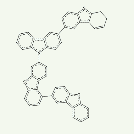 C1=Cc2c(sc3ccc(-c4ccc5c(c4)c4ccccc4n5-c4ccc5c(c4)sc4cccc(-c6ccc7oc8ccccc8c7c6)c45)cc23)CC1